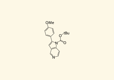 COc1ccc(-c2cc3cnccc3n2C(=O)OC(C)(C)C)cc1